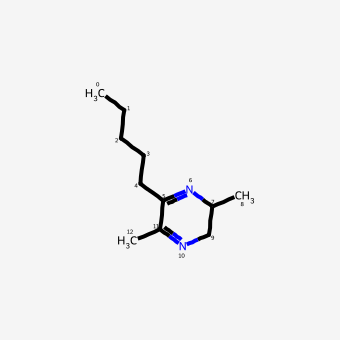 CCCCCC1=NC(C)CN=C1C